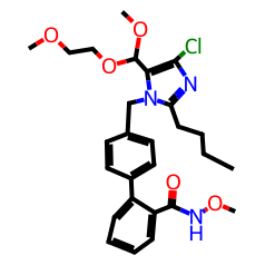 CCCCc1nc(Cl)c(C(OC)OCCOC)n1Cc1ccc(-c2ccccc2C(=O)NOC)cc1